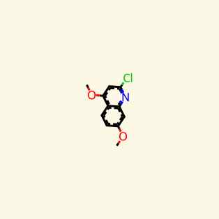 COc1ccc2c(OC)cc(Cl)nc2c1